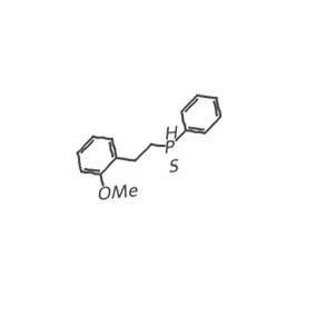 COc1ccccc1CC[PH](=S)c1ccccc1